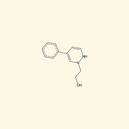 OCCN1C=C(c2ccccc2)C=CN1